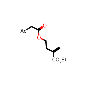 C=C(CCOC(=O)CC(C)=O)C(=O)OCC